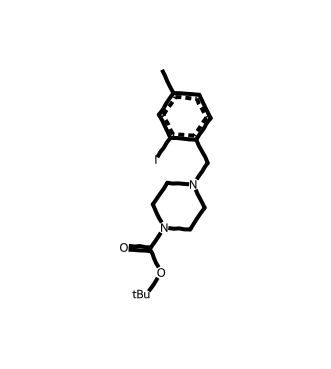 Cc1ccc(CN2CCN(C(=O)OC(C)(C)C)CC2)c(I)c1